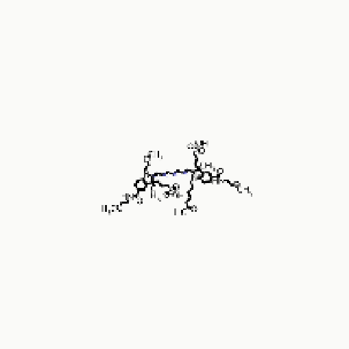 COCCNC(=O)c1ccc2c(c1)C(C)(CCCS(=O)(=O)O)C(/C=C/C=C/C=C/C=C1/N(CCOC)c3ccc(C(=O)NCCOC)cc3C1(C)CCCS(=O)(=O)O)=[N+]2CCCCCC(=O)O